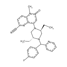 CC[C@H]1CN(C(c2ccc(F)cc2)c2ccccn2)[C@H](CC)CN1c1cc(=O)n(C)c2ccc(C#N)nc12